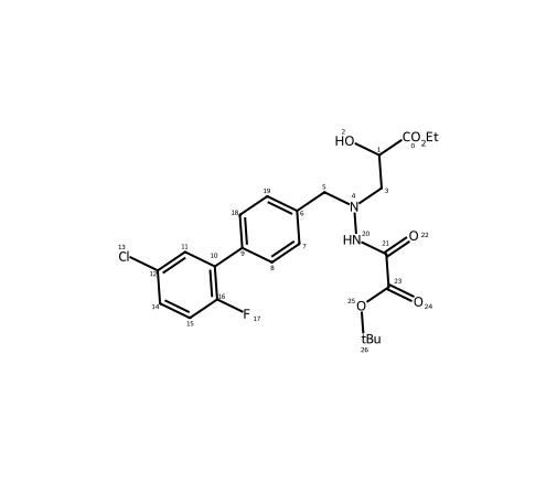 CCOC(=O)C(O)CN(Cc1ccc(-c2cc(Cl)ccc2F)cc1)NC(=O)C(=O)OC(C)(C)C